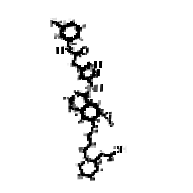 COc1cc2c(Nc3cc(CC(=O)Nc4cccc(F)c4)[nH]n3)ncnc2cc1OCCCN1CCCCC1CCO